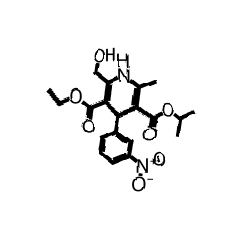 CCOC(=O)C1=C(CO)NC(C)=C(C(=O)OC(C)C)C1c1cccc([N+](=O)[O-])c1